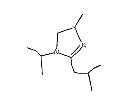 CC(C)CC1=NN(C)CN1C(C)C